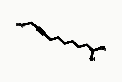 CC(O)CCCCCCC#CCC(=O)O